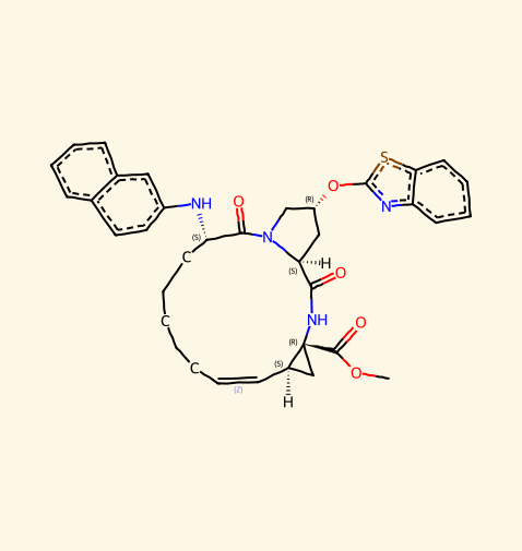 COC(=O)[C@@]12C[C@H]1/C=C\CCCCC[C@H](Nc1ccc3ccccc3c1)C(=O)N1C[C@H](Oc3nc4ccccc4s3)C[C@H]1C(=O)N2